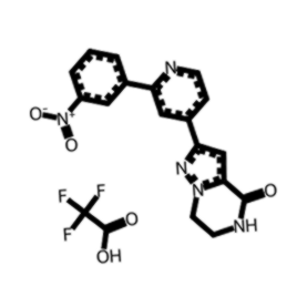 O=C(O)C(F)(F)F.O=C1NCCn2nc(-c3ccnc(-c4cccc([N+](=O)[O-])c4)c3)cc21